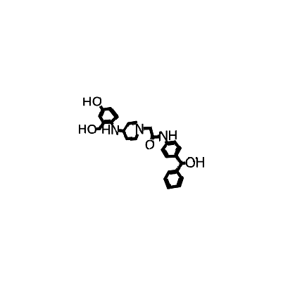 O=C(CN1CCC(Nc2ccc(O)cc2CO)CC1)Nc1ccc(C(O)c2ccccc2)cc1